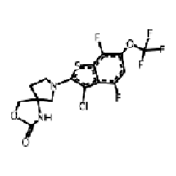 O=C1NC2(CCN(c3sc4c(F)c(OC(F)(F)F)cc(F)c4c3Cl)C2)CO1